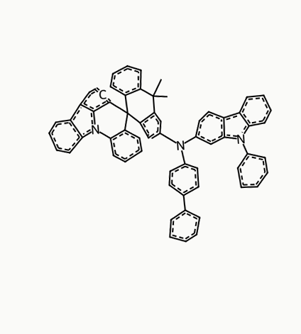 CC1(C)c2ccccc2C2(c3ccccc3-n3c4ccccc4c4cccc2c43)c2ccc(N(c3ccc(-c4ccccc4)cc3)c3ccc4c5ccccc5n(-c5ccccc5)c4c3)cc21